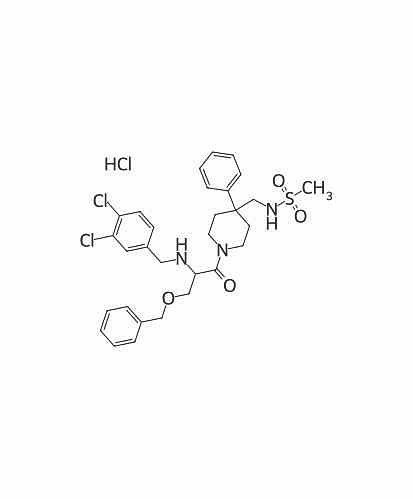 CS(=O)(=O)NCC1(c2ccccc2)CCN(C(=O)C(COCc2ccccc2)NCc2ccc(Cl)c(Cl)c2)CC1.Cl